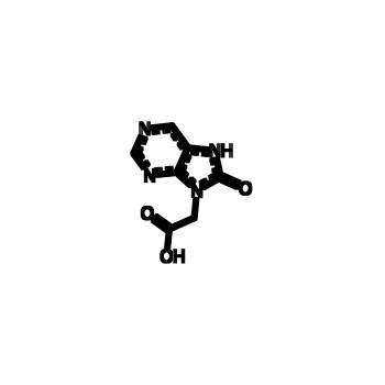 O=C(O)Cn1c(=O)[nH]c2cncnc21